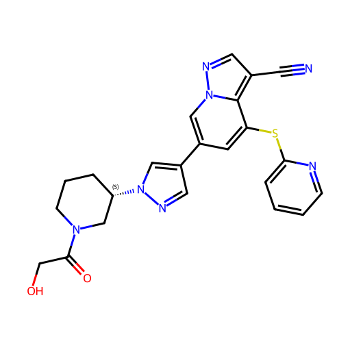 N#Cc1cnn2cc(-c3cnn([C@H]4CCCN(C(=O)CO)C4)c3)cc(Sc3ccccn3)c12